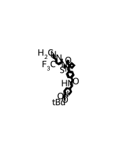 C=NCc1ncc(N2C(=O)C3(CCC3)N(c3ccc(C(=O)NCC4CCN(C(=O)OC(C)(C)C)CC4)cc3)C2=S)cc1C(F)(F)F